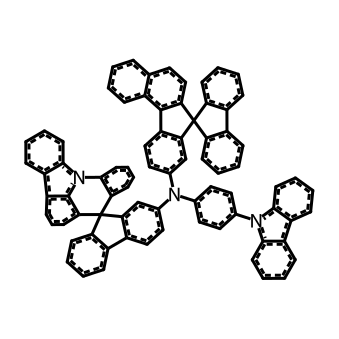 c1ccc2c(c1)-c1ccccc1C21c2cc(N(c3ccc(-n4c5ccccc5c5ccccc54)cc3)c3ccc4c(c3)C3(c5ccccc5-4)c4ccccc4-n4c5ccccc5c5cccc3c54)ccc2-c2c1ccc1ccccc21